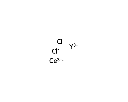 [Ce+3].[Cl-].[Cl-].[Y+3]